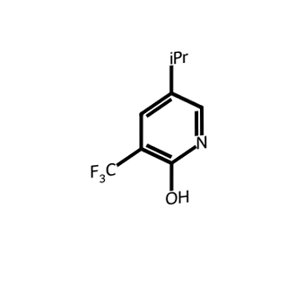 [CH2]C(C)c1cnc(O)c(C(F)(F)F)c1